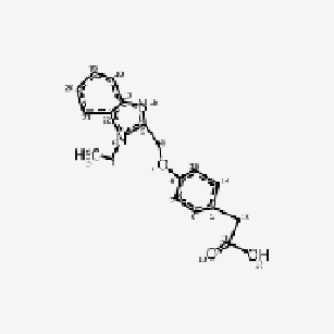 CCn1c(COc2ccc(CC(=O)O)cc2)nc2ccccc21